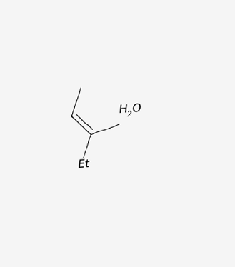 CC=C(C)CC.O